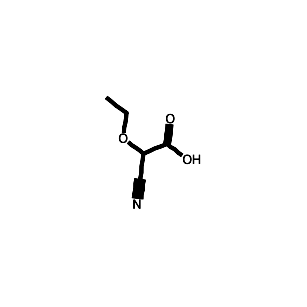 CCOC(C#N)C(=O)O